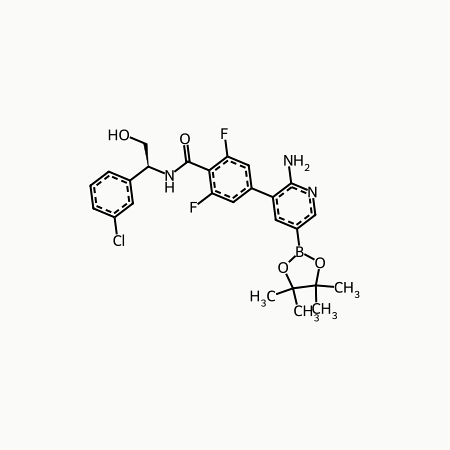 CC1(C)OB(c2cnc(N)c(-c3cc(F)c(C(=O)N[C@H](CO)c4cccc(Cl)c4)c(F)c3)c2)OC1(C)C